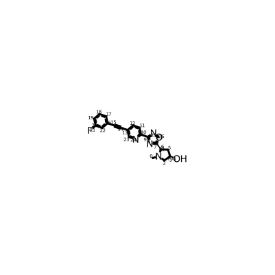 CN1C[C@H](O)C[C@@H]1c1nc(-c2ccc(C#Cc3cccc(F)c3)cn2)no1